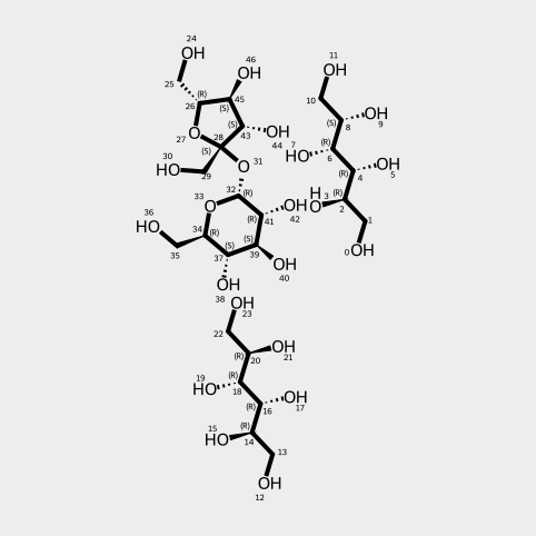 OC[C@@H](O)[C@@H](O)[C@H](O)[C@@H](O)CO.OC[C@@H](O)[C@@H](O)[C@H](O)[C@H](O)CO.OC[C@H]1O[C@@](CO)(O[C@H]2O[C@H](CO)[C@@H](O)[C@H](O)[C@H]2O)[C@@H](O)[C@@H]1O